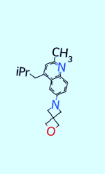 Cc1cc(CC(C)C)c2cc(N3CC4(COC4)C3)ccc2n1